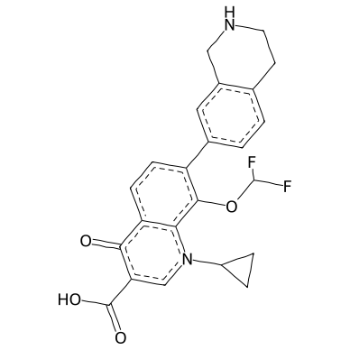 O=C(O)c1cn(C2CC2)c2c(OC(F)F)c(-c3ccc4c(c3)CNCC4)ccc2c1=O